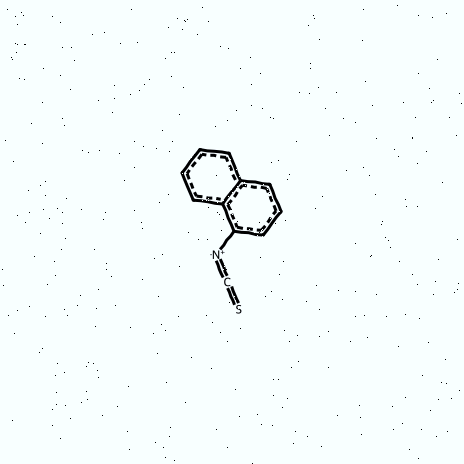 S=C=[N+]c1cccc2ccccc12